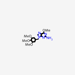 COc1cc(Cn2cnc3c(OC)nc(N)nc32)cc(OC)c1OC